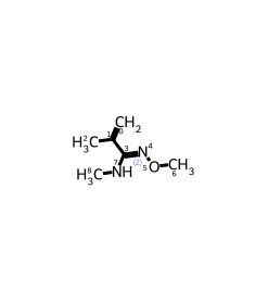 C=C(C)/C(=N/OC)NC